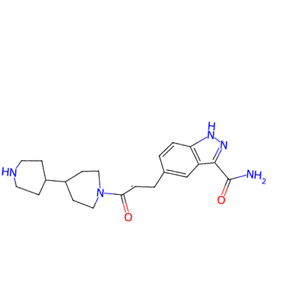 NC(=O)c1n[nH]c2ccc(C[CH]C(=O)N3CCC(C4CCNCC4)CC3)cc12